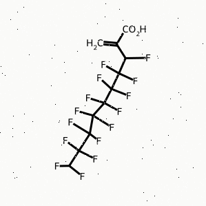 C=C(C(=O)O)C(F)C(F)(F)C(F)(F)C(F)(F)C(F)(F)C(F)(F)C(F)(F)C(F)F